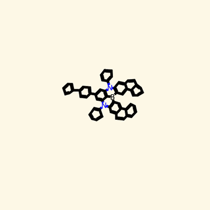 c1ccc(-c2ccc(-c3cc4c5c(c3)N(c3ccccc3)c3cc6ccc7ccccc7c6cc3B5c3cc5c(ccc6ccccc65)cc3N4c3ccccc3)cc2)cc1